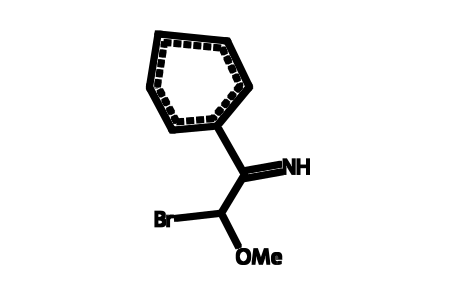 COC(Br)C(=N)c1ccccc1